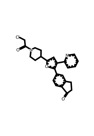 O=C1CCc2cc(-c3oc(C4CCN(C(=O)CCl)CC4)cc3-c3ccccn3)ccc21